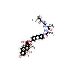 CCCCC(C)CC(=O)NCCN[C@@H](C)C(=O)N[C@@H](C)C(=O)Nc1cccc(Cc2ccc([C@@H]3O[C@@H]4C[C@H]5[C@@H]6C[C@H](F)C7=CC(=O)C=C[C@]7(C)[C@@]6(F)[C@@H](O)C[C@]5(C)[C@]4(C(=O)CO)O3)cc2)c1